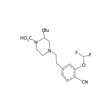 CC(C)(C)C1CN(CCc2ccc(C#N)c(OC(F)F)c2)CCN1C(=O)O